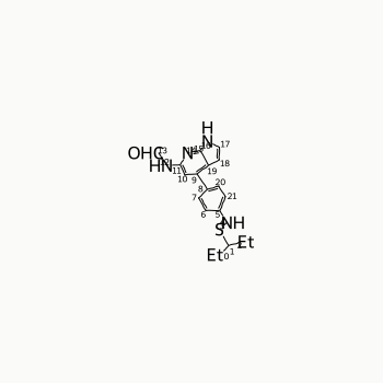 CCC(CC)SNc1ccc(-c2cc(NC=O)nc3[nH]ccc23)cc1